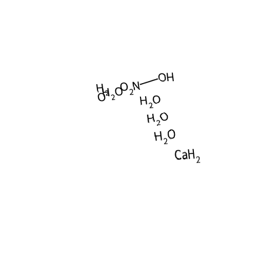 O.O.O.O.O.O=[N+]([O-])O.[CaH2]